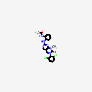 CC(=O)Nc1ccccc1Nc1ncc2c(n1)N(C)C(=O)N(c1c(Cl)cccc1Cl)C2